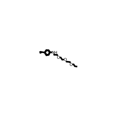 C#Cc1ccc(NCCOCCOCCOCCC)cc1